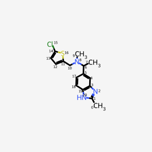 Cc1nc2cc(C(C)N(C)Cc3ccc(Cl)s3)ccc2[nH]1